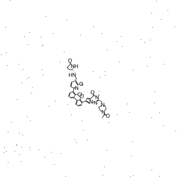 COc1nc(-c2cccc(-c3cccc(-c4cc5c(=O)n(C)c(CN6CCN(C(C)=O)CC6)nn5c4)c3Cl)c2Cl)ccc1CNC[C@@H]1CCC(=O)N1